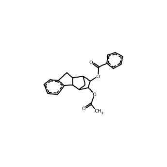 CC(=O)OC1C2CC(C3Cc4ccccc4C32)C1OC(=O)c1ccccc1